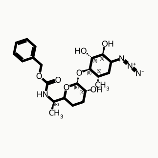 C[C@@H](NC(=O)OCc1ccccc1)C1CC[C@@H](O)[C@@H](O[C@H]2[C@H](O)[C@@H](O)C(N=[N+]=[N-])C[C@@H]2C)O1